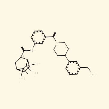 NCc1cccc(C2CCN(C(=O)c3cccc(NC(=O)[C@@H]4CC5CCC4[C@H](O)[C@@H]5O)c3)CC2)c1